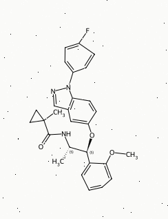 COc1ccccc1[C@H](Oc1ccc2c(cnn2-c2ccc(F)cc2)c1)[C@H](C)NC(=O)C1(C)CC1